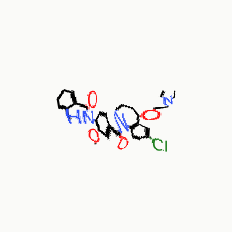 CCN(CC)CCOC1CCCN(C(=O)c2ccc(NC(=O)c3ccccc3C)c(OC)c2)c2ccc(Cl)cc21